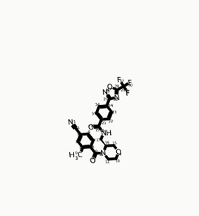 Cc1cc(C#N)ccc1C(=O)N1CCOC[C@@H]1CNC(=O)c1ccc(-c2noc(C(F)(F)F)n2)cc1